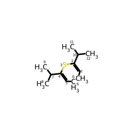 C/C=C(\S/C(=C\C)C(C)C)C(C)C